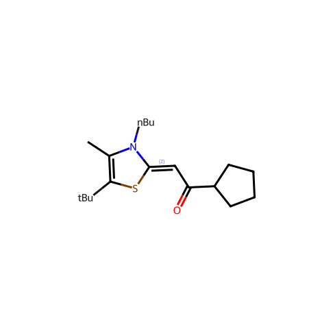 CCCCN1C(C)=C(C(C)(C)C)S/C1=C\C(=O)C1CCCC1